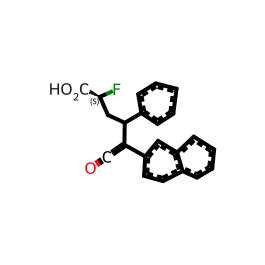 O=C=C(c1ccc2ccccc2c1)C(C[C@H](F)C(=O)O)c1ccccc1